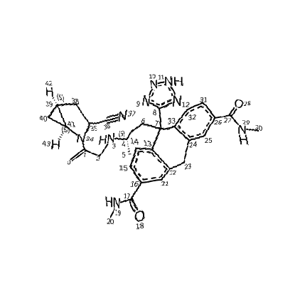 C=C(CN[C@@H](C)CC1(c2nn[nH]n2)c2ccc(C(=O)NC)cc2Cc2cc(C(=O)NC)ccc21)N1C(C#N)C[C@@H]2C[C@@H]21